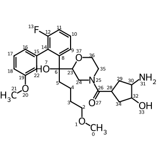 COCCCCC(O)(c1cccc(F)c1-c1cccc(OC)c1)C1CN(C(=O)C2CC(N)C(O)C2)CCO1